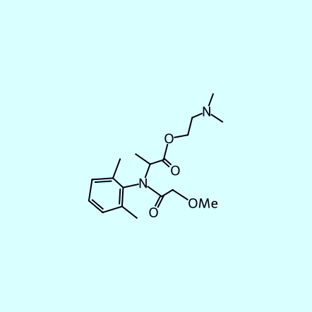 COCC(=O)N(c1c(C)cccc1C)C(C)C(=O)OCCN(C)C